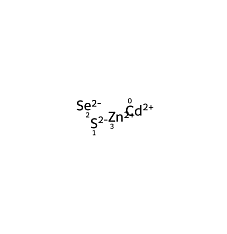 [Cd+2].[S-2].[Se-2].[Zn+2]